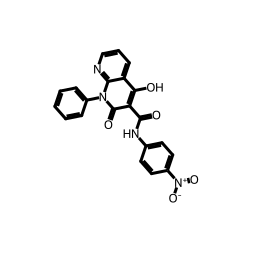 O=C(Nc1ccc([N+](=O)[O-])cc1)c1c(O)c2cccnc2n(-c2ccccc2)c1=O